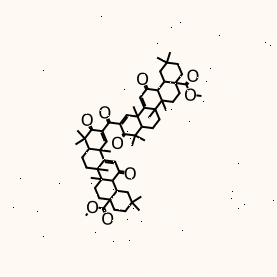 COC(=O)C12CCC(C)(C)CC1C1C(=O)C=C3C4(C)C=C(C(=O)C5=CC6(C)C7=CC(=O)C8C9CC(C)(C)CCC9(C(=O)OC)CCC8(C)C7(C)CCC6C(C)(C)C5=O)C(=O)C(C)(C)C4CCC3(C)C1(C)CC2